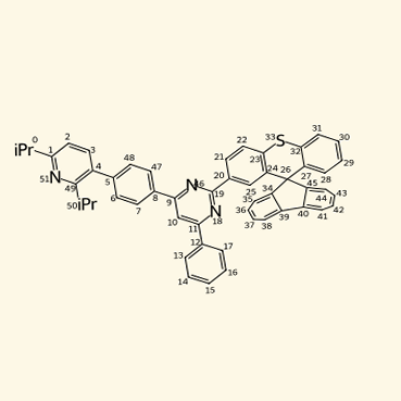 CC(C)c1ccc(-c2ccc(-c3cc(-c4ccccc4)nc(-c4ccc5c(c4)C4(c6ccccc6S5)c5ccccc5-c5ccccc54)n3)cc2)c(C(C)C)n1